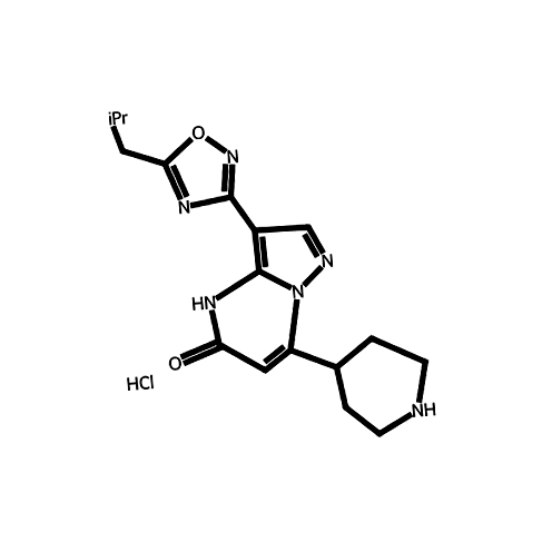 CC(C)Cc1nc(-c2cnn3c(C4CCNCC4)cc(=O)[nH]c23)no1.Cl